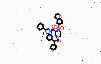 CC(CNC(=O)C1CN(C(=O)C(c2ccccc2)c2ccccc2)CCN1S(=O)(=O)c1ccc2ncccc2c1)c1ccccc1